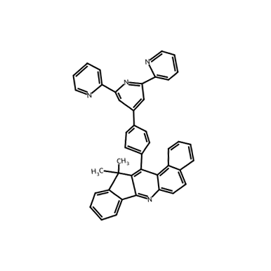 CC1(C)c2ccccc2-c2nc3ccc4ccccc4c3c(-c3ccc(-c4cc(-c5ccccn5)nc(-c5ccccn5)c4)cc3)c21